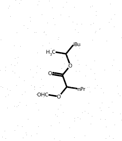 CCCC(O[C]=O)C(=O)OC(C)C(C)CC